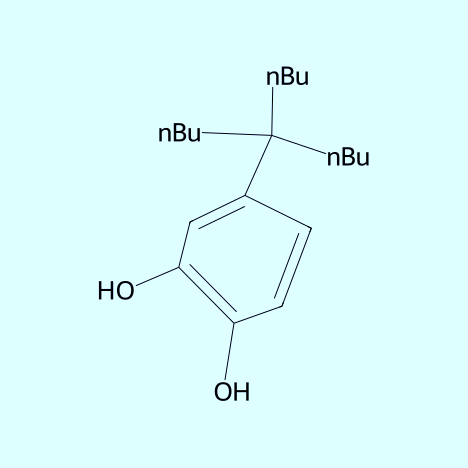 CCCCC(CCCC)(CCCC)c1ccc(O)c(O)c1